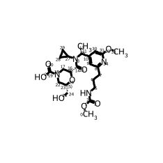 COC(=O)NCCCc1cc([C@@H](C)N(C(=O)[C@H]2CN(C(=O)O)C[C@@H](CO)O2)C2CC2)cc(OC)n1